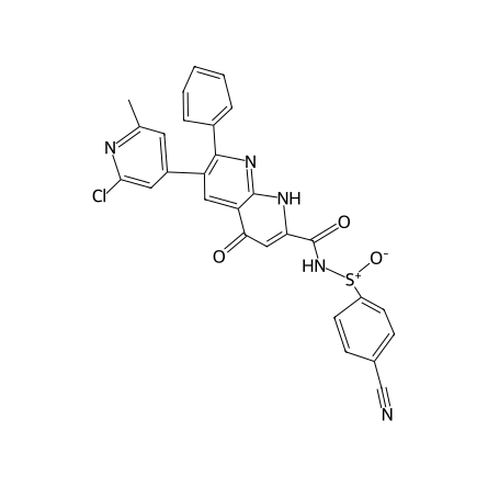 Cc1cc(-c2cc3c(=O)cc(C(=O)N[S+]([O-])c4ccc(C#N)cc4)[nH]c3nc2-c2ccccc2)cc(Cl)n1